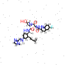 C[C@H](NC(=O)[C@@H]1C[C@@H](O)CN1C(=O)CNC(=O)c1ccc2cc(F)ccc2n1)c1ccc(N(C)Cc2nccn2C)cc1/C=C/C1CC1